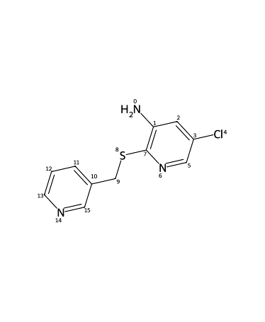 Nc1cc(Cl)cnc1SCc1cccnc1